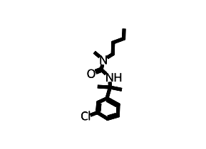 CCCCN(C)C(=O)NC(C)(C)c1cccc(Cl)c1